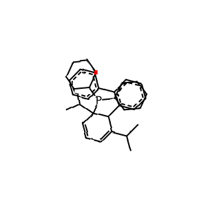 CC(C)C1=CC=CC(C(C)C)(P(C2CCCCC2)C2CCCCC2)C1c1ccccc1-c1ccccc1